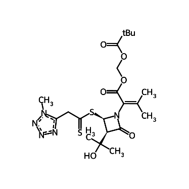 CC(C)=C(C(=O)OCOC(=O)C(C)(C)C)N1C(=O)[C@@H](C(C)(C)O)[C@H]1SC(=S)Cc1nnnn1C